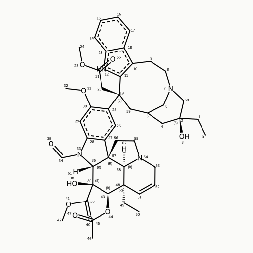 CC[C@]1(O)CC2CN(CCc3c([nH]c4ccccc34)[C@@](CC(=O)OC)(c3cc4c(cc3OC)N(C=O)[C@H]3[C@@](O)(C(=O)OC)[C@H](OC(C)=O)[C@]5(CC)C=CCN6CC[C@]43[C@@H]65)C2)C1